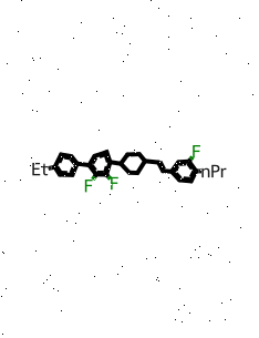 CCCc1ccc(/C=C/C2CCC(c3ccc(-c4ccc(CC)cc4)c(F)c3F)CC2)cc1F